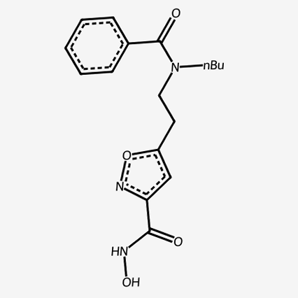 CCCCN(CCc1cc(C(=O)NO)no1)C(=O)c1ccccc1